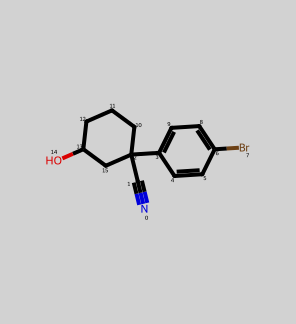 N#CC1(c2ccc(Br)cc2)CCCC(O)C1